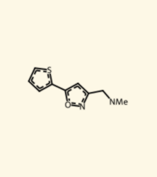 CNCc1cc(-c2cccs2)on1